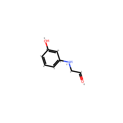 O=[C]CNc1cccc(O)c1